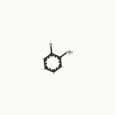 CCCCc1ccccc1[N]